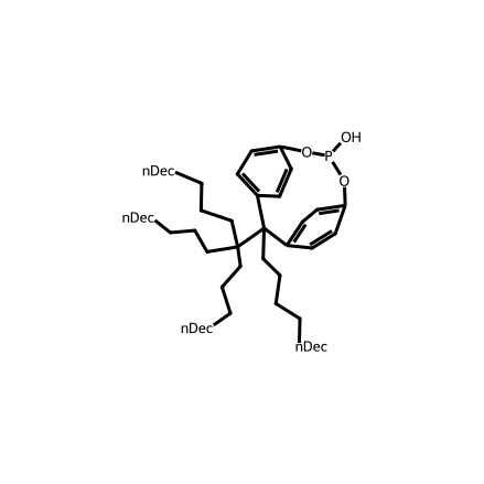 CCCCCCCCCCCCCCC1(C(CCCCCCCCCCCCC)(CCCCCCCCCCCCC)CCCCCCCCCCCCC)c2ccc(cc2)OP(O)Oc2ccc1cc2